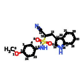 COc1ccc(NS(=O)(=O)/C(C#N)=C\c2c[nH]c3ccccc23)cc1